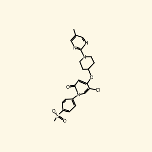 Cc1cnc(N2CCC(Oc3cc(=O)n(-c4ccc(S(C)(=O)=O)cc4)cc3Cl)CC2)nc1